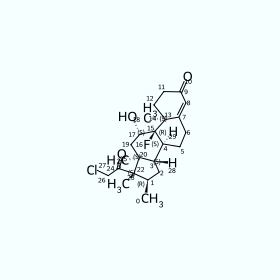 C[C@@H]1C[C@H]2[C@@H]3CCC4=CC(=O)CC[C@]4(C)[C@@]3(F)[C@@H](O)C[C@]2(C)[C@@]1(C)C(=O)CCl